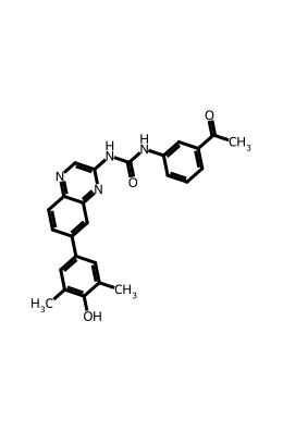 CC(=O)c1cccc(NC(=O)Nc2cnc3ccc(-c4cc(C)c(O)c(C)c4)cc3n2)c1